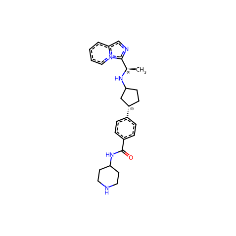 C[C@@H](NC1CC[C@H](c2ccc(C(=O)NC3CCNCC3)cc2)C1)c1ncc2ccccn12